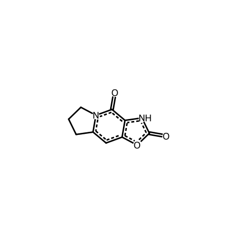 O=c1[nH]c2c(=O)n3c(cc2o1)CCC3